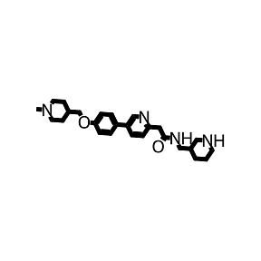 CN1CCC(COc2ccc(-c3ccc(CC(=O)NCC4CCCNC4)nc3)cc2)CC1